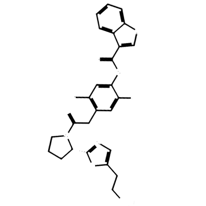 O=C(O)CCc1cnc([C@@H]2CCCN2C(=O)Cc2cc(Cl)c(NC(=O)c3csc4ccccc34)cc2Cl)s1